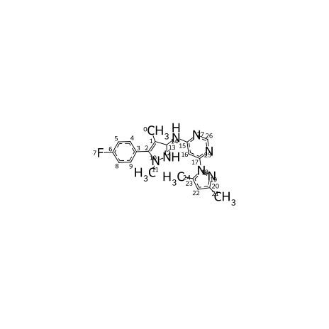 CC1=C(c2ccc(F)cc2)N(C)NC1Nc1cc(-n2nc(C)cc2C)ncn1